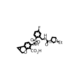 CCN1CC[C@H](C(=O)NCc2cc(F)ccc2S(=O)(=O)Nc2ccc3c(c2C(=O)O)OCC2CC32)C1